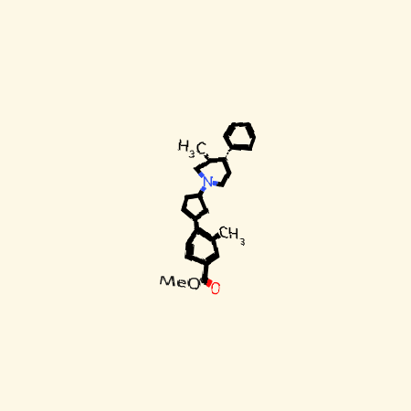 COC(=O)c1ccc(C2CCC(N3CC[C@@H](c4ccccc4)[C@H](C)C3)C2)c(C)c1